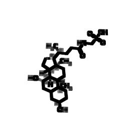 C[C@H](CCC(=O)NCS(=O)(=O)O)[C@H]1CC[C@H]2[C@@H]3[C@@H](O)CC4C[C@H](O)CC[C@]4(C)[C@H]3CC[C@]12C